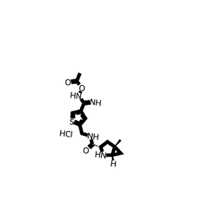 CC(=O)ONC(=N)c1csc(CNC(=O)[C@@H]2C[C@]3(C)C[C@@H]3N2)c1.Cl